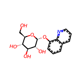 OC[C@H]1O[C@H](Oc2cccc3cccnc23)[C@H](O)[C@@H](O)[C@@H]1O